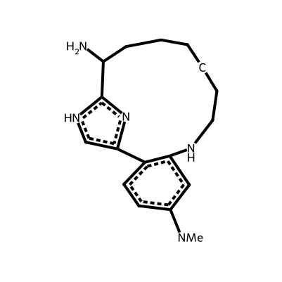 CNc1ccc2c(c1)NCCCCCCC(N)c1nc-2c[nH]1